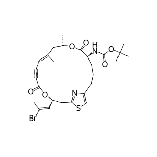 C/C(Br)=C\[C@@H]1Cc2nc(cs2)CCC[C@H](NC(=O)OC(C)(C)C)C(=O)O[C@@H](C)C/C(C)=C/C#CC(=O)O1